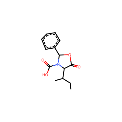 CCC(C)C1C(=O)OC(c2ccccc2)N1C(=O)O